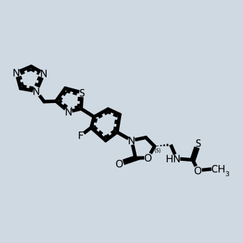 COC(=S)NC[C@H]1CN(c2ccc(-c3nc(Cn4cncn4)cs3)c(F)c2)C(=O)O1